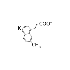 Cc1ccc2cccc(CCC(=O)[O-])c2c1.[K+]